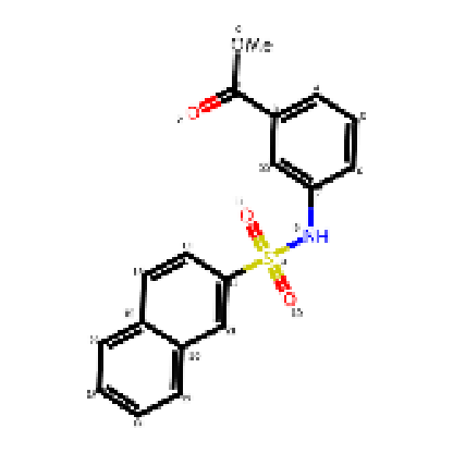 COC(=O)c1cccc(NS(=O)(=O)c2ccc3ccccc3c2)c1